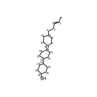 C/C=C/CCC1CCN(C2CCC(C3CCC(S)CC3)CC2)CC1